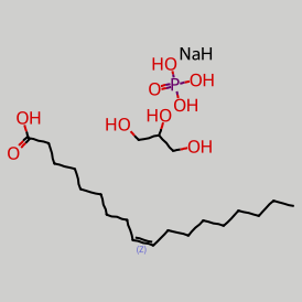 CCCCCCCC/C=C\CCCCCCCC(=O)O.O=P(O)(O)O.OCC(O)CO.[NaH]